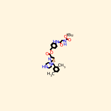 Cc1ccc(C)c(C[N+]2(c3nc(C(=O)OCc4ccc(NC(=O)CNC(=O)OC(C)(C)C)cc4)cs3)CCNCC2)c1